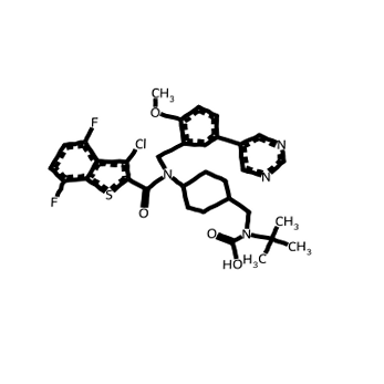 COc1ccc(-c2cncnc2)cc1CN(C(=O)c1sc2c(F)ccc(F)c2c1Cl)C1CCC(CN(C(=O)O)C(C)(C)C)CC1